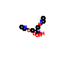 O=C(O)C(=NO)C(c1ccc(OCc2ccc3ccccc3n2)cc1)c1ccc(OCc2ccc3ccccc3n2)cc1